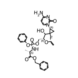 C=CO[C@H](COP(=O)(N[C@@H](C)C(=O)OCc1ccccc1)Oc1ccccc1)C(O)C1(F)C[C@H]1n1ccc(N)nc1=O